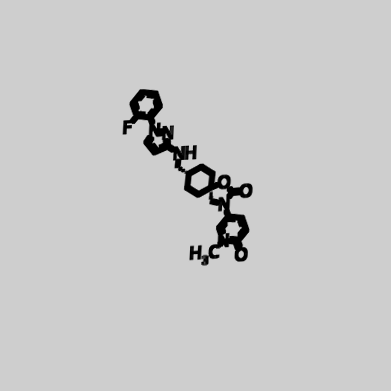 Cn1cc(N2C[C@]3(CC[C@@H](CNc4ccn(-c5ccccc5F)n4)CC3)OC2=O)ccc1=O